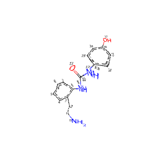 NCCc1ccccc1NC(=O)Nc1ccc(O)cc1